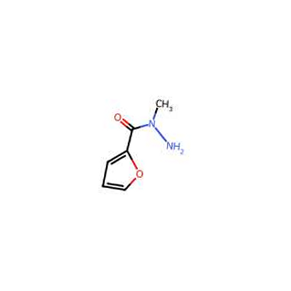 CN(N)C(=O)c1ccco1